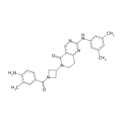 Cc1cc(C)cc(Nc2ncc3c(n2)CCN(C2CN(C(=O)c4ccc(N)c(C)c4)C2)C3=O)c1